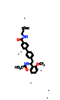 CCCCCCCCCCCCNC(=O)c1ccc(-c2ccc(CC(NC(=O)C(=O)O)c3ccccc3OC(F)(F)F)cc2)cc1